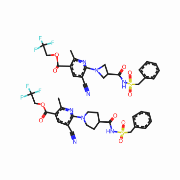 Cc1nc(N2CC(C(=O)NS(=O)(=O)Cc3ccccc3)C2)c(C#N)cc1C(=O)OCC(F)(F)F.Cc1nc(N2CCC(C(=O)NS(=O)(=O)Cc3ccccc3)CC2)c(C#N)cc1C(=O)OCC(F)(F)F